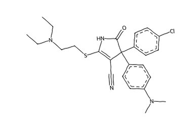 CCN(CC)CCSC1=C(C#N)C(c2ccc(Cl)cc2)(c2ccc(N(C)C)cc2)C(=O)N1